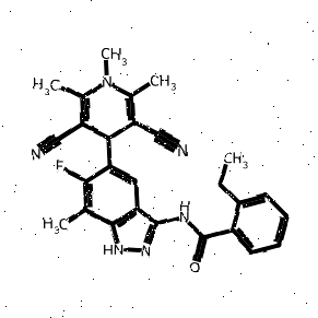 CCc1ccccc1C(=O)Nc1n[nH]c2c(C)c(F)c(C3C(C#N)=C(C)N(C)C(C)=C3C#N)cc12